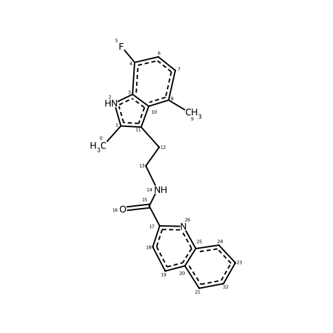 Cc1[nH]c2c(F)ccc(C)c2c1CCNC(=O)c1ccc2ccccc2n1